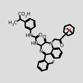 CC(C(=O)O)c1cccc(NC(=O)NC2N=C(c3ccccc3F)c3ccccc3N(CC(=O)N3CC4CCC(CC4)C3)C2=O)c1